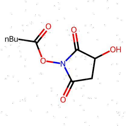 CCCCC(=O)ON1C(=O)CC(O)C1=O